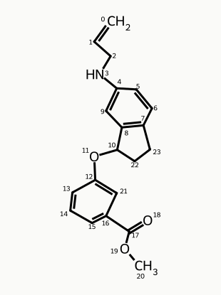 C=CCNc1ccc2c(c1)C(Oc1cccc(C(=O)OC)c1)CC2